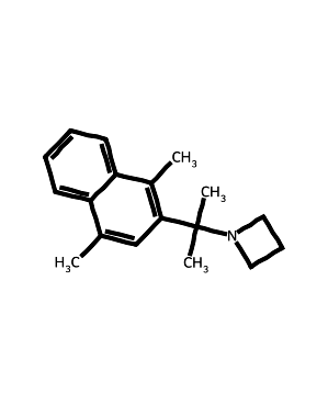 Cc1cc(C(C)(C)N2CCC2)c(C)c2ccccc12